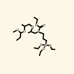 CCOC(=O)N(CCC[Si](OCC)(OCC)OCC)CC(C)OCC(C)OC(CC)OC